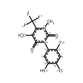 Cc1c(C(F)(F)F)n(C)c(=O)n(-c2cc(S)c(Cl)cc2F)c1=O